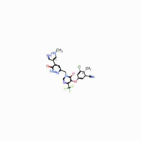 CN/C=C(\C=N)c1cc(Cn2cnc(C(F)(F)F)c(OC3=CC(C#N)[C@@H](C)C(Cl)=C3)c2=O)n[nH]c1=O